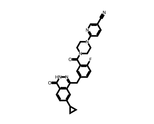 N#Cc1ccc(N2CCN(C(=O)c3cc(Cc4n[nH]c(=O)c5ccc(C6CC6)cc45)ccc3F)CC2)nc1